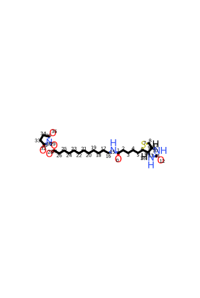 O=C(CCCCC1SC[C@@H]2NC(=O)N[C@H]12)NCCCCCCCCCCCC(=O)ON1C(=O)CCC1=O